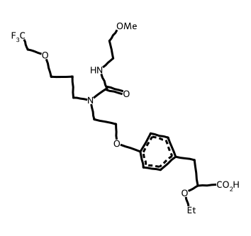 CCOC(Cc1ccc(OCCN(CCCOCC(F)(F)F)C(=O)NCCOC)cc1)C(=O)O